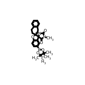 CN1C(=O)NC2(C1=O)c1cc(B3OC(C)(C)C(C)(C)O3)ccc1OC21CCc2ccccc2CC1